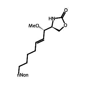 CCCCCCCCCCCCC/C=C/[C@H](OC)[C@@H]1COC(=O)N1